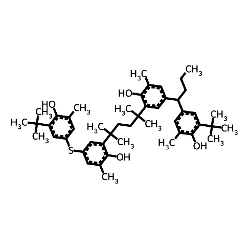 CCCC(c1cc(C)c(O)c(C(C)(C)C)c1)c1cc(C)c(O)c(C(C)(C)CCC(C)(C)c2cc(Sc3cc(C)c(O)c(C(C)(C)C)c3)cc(C)c2O)c1